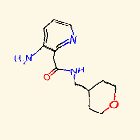 Nc1cccnc1C(=O)NCC1CCOCC1